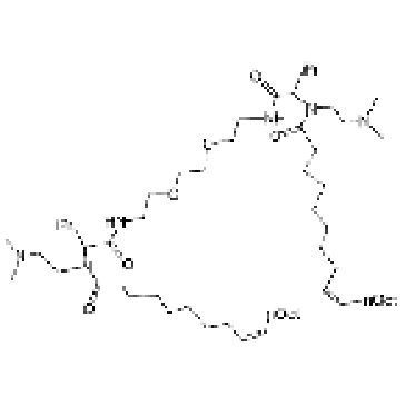 CCCCCCCC/C=C\CCCCCCCC(=O)N(CCN(C)C)C(C(=O)NCCOCCOCCNC(=O)C(C(C)C)N(CCN(C)C)C(=O)CCCCCCC/C=C\CCCCCCCC)C(C)C